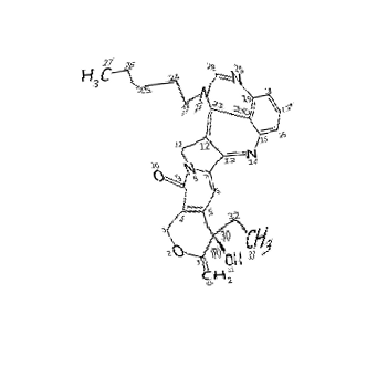 C=C1OCc2c(cc3n(c2=O)Cc2c-3nc3cccc4c3c2N(CCCCC)C=N4)[C@]1(O)CC